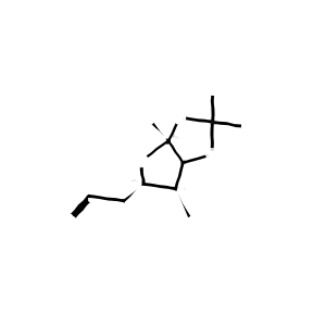 C=CC[C@H]1O[C@@H]2OC(C)(C)OC2[C@H]1C